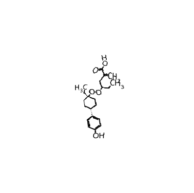 C=C(CC(CC)OO[C@]1(CC)CC[C@H](c2ccc(O)cc2)CC1)C(=O)O